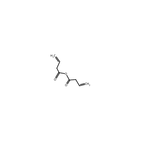 C=CCC(=O)OC(=O)CC=C